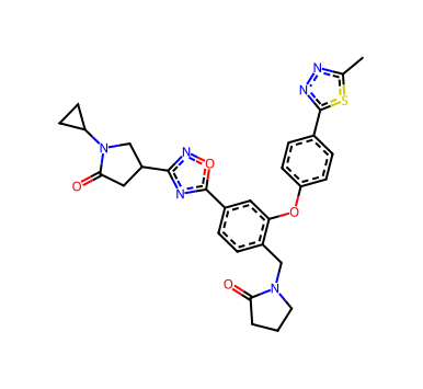 Cc1nnc(-c2ccc(Oc3cc(-c4nc(C5CC(=O)N(C6CC6)C5)no4)ccc3CN3CCCC3=O)cc2)s1